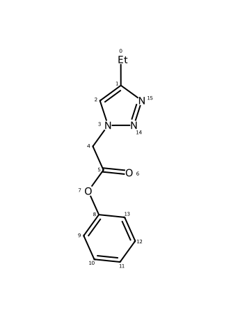 CCc1cn(CC(=O)Oc2ccccc2)nn1